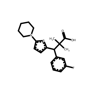 CC(C)(C(=O)O)C(c1cccc(F)c1)c1ccc(N2CCCCC2)s1